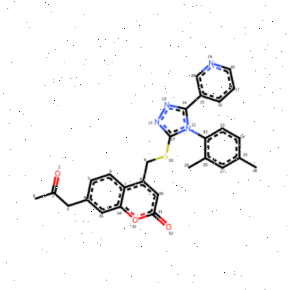 CC(=O)Cc1ccc2c(CSc3nnc(-c4cccnc4)n3-c3ccc(C)cc3C)cc(=O)oc2c1